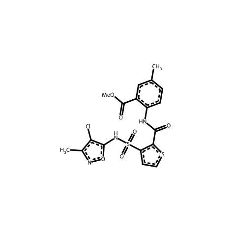 COC(=O)c1cc(C)ccc1NC(=O)c1sccc1S(=O)(=O)Nc1onc(C)c1Cl